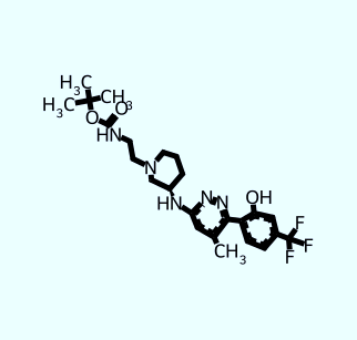 Cc1cc(N[C@@H]2CCCN(CCNC(=O)OC(C)(C)C)C2)nnc1-c1ccc(C(F)(F)F)cc1O